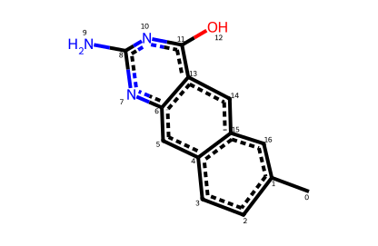 Cc1ccc2cc3nc(N)nc(O)c3cc2c1